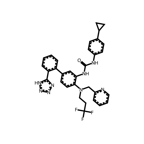 O=C(Nc1ccc(C2CC2)cc1)Nc1cc(-c2ccccc2-c2nnn[nH]2)ccc1N(CCC(F)(F)F)Cc1ccccn1